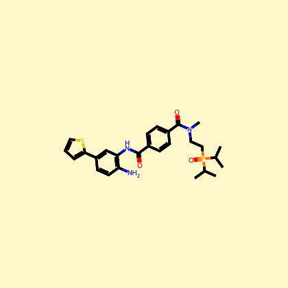 CC(C)P(=O)(CCN(C)C(=O)c1ccc(C(=O)Nc2cc(-c3cccs3)ccc2N)cc1)C(C)C